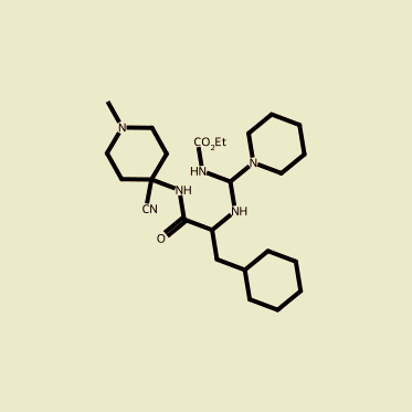 CCOC(=O)NC(NC(CC1CCCCC1)C(=O)NC1(C#N)CCN(C)CC1)N1CCCCC1